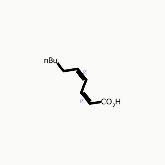 CCCCC/C=C\C=C/C(=O)O